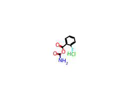 Cl.NC(=O)OC(=O)c1ccccc1F